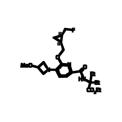 CCOC(=O)C(CC)(CC)NC(=O)c1ccc(N2CC(OC)C2)c(OC[C@H]2C[C@H]2CF)n1